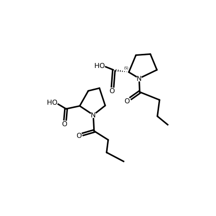 CCCC(=O)N1CCCC1C(=O)O.CCCC(=O)N1CCC[C@H]1C(=O)O